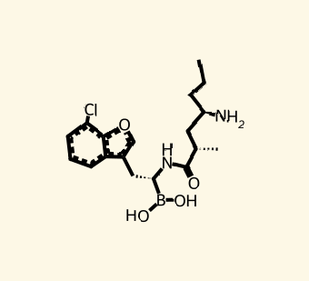 CCC[C@@H](N)C[C@H](C)C(=O)N[C@@H](Cc1coc2c(Cl)cccc12)B(O)O